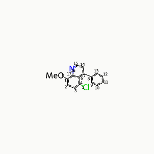 COc1ccc(Cl)c2c(-c3ccccc3)ccnc12